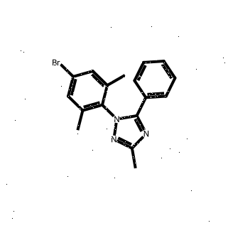 Cc1nc(-c2ccccc2)n(-c2c(C)cc(Br)cc2C)n1